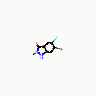 Cn1[nH]c2cc(Br)c(F)cc2c1=O